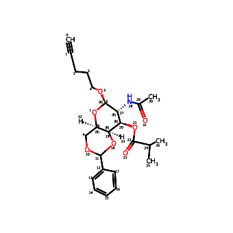 C#CCCCO[C@@H]1O[C@@H]2COC(c3ccccc3)O[C@@H]2[C@H](OC(=O)C(C)C)[C@H]1NC(C)=O